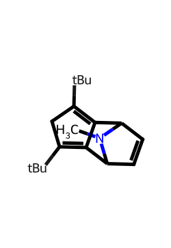 CN1C2C=CC1C1=C(C(C)(C)C)CC(C(C)(C)C)=C12